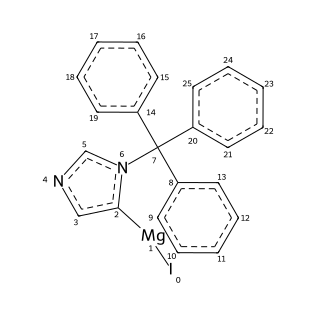 [I][Mg][c]1cncn1C(c1ccccc1)(c1ccccc1)c1ccccc1